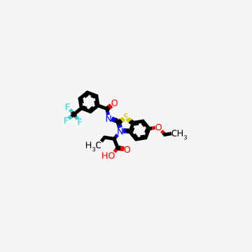 CCOc1ccc2c(c1)s/c(=N\C(=O)c1cccc(C(F)(F)F)c1)n2C(CC)C(=O)O